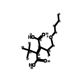 CCCCOCC(C)C(C(=O)O)=C(C(=O)O)C(C)(C)C